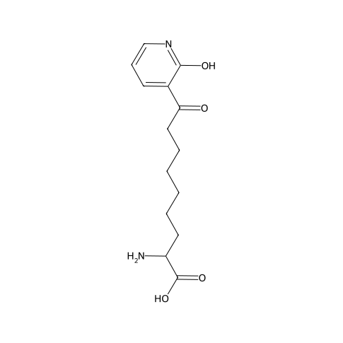 NC(CCCCCCC(=O)c1cccnc1O)C(=O)O